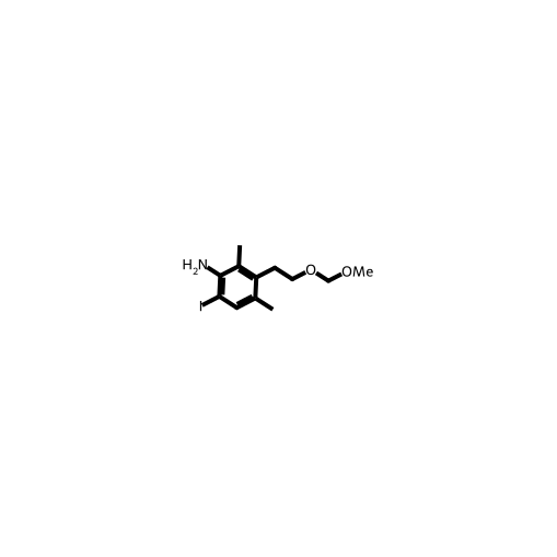 COCOCCc1c(C)cc(I)c(N)c1C